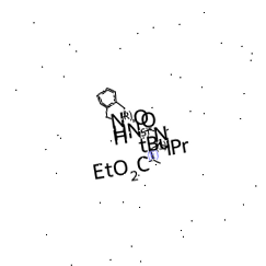 CCOC(=O)/C(C)=C/[C@H](C(C)C)N(C)C(=O)[C@@H](NC(=O)[C@H]1Cc2ccccc2CN1)C(C)(C)C